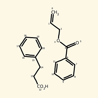 C=CCOC(=O)c1ccccc1.O=C(O)CCc1ccccc1